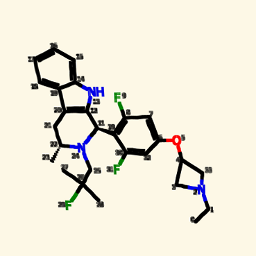 CCN1CC(Oc2cc(F)c([C@@H]3c4[nH]c5ccccc5c4C[C@@H](C)N3CC(C)(C)F)c(F)c2)C1